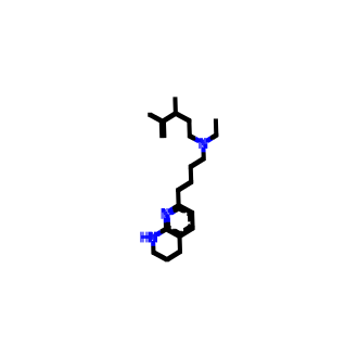 C=C(C)C(C)CCN(CC)CCCCc1ccc2c(n1)NCCC2